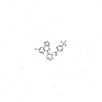 C[C@@H]1CN(C(=O)c2ncc(F)cc2-n2nccn2)[C@H](CNc2ccc(C(F)(F)F)cn2)[C@H](C)O1